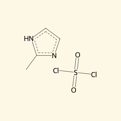 Cc1ncc[nH]1.O=S(=O)(Cl)Cl